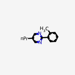 CCCc1cnc(-c2ccccc2C)nc1